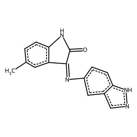 Cc1ccc2c(c1)/C(=N/c1ccc3[nH]ncc3c1)C(=O)N2